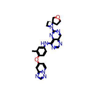 Cc1cc(Nc2ncnc3cnc(N4CC[C@]45CCOC5)nc23)ccc1Oc1ccn2ncnc2c1